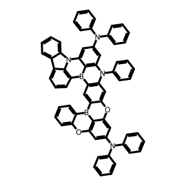 c1ccc(N(c2ccccc2)c2cc3c4c(c2)Oc2cc5c(cc2B4c2ccccc2O3)B2c3c(cc(N(c4ccccc4)c4ccccc4)cc3-n3c4ccccc4c4cccc2c43)N5c2ccccc2)cc1